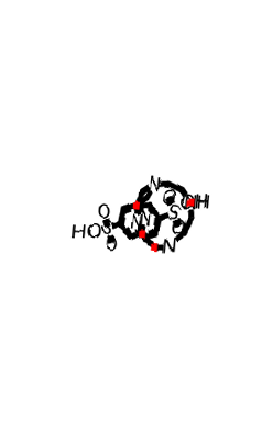 O=S(=O)(O)c1cc2nc(c1)CN1CCNCCN(C2)Cc2cc(S(=O)(=O)O)cc(n2)C1